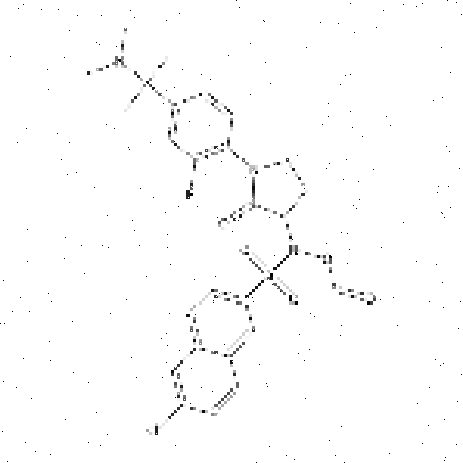 CN(C)C(C)(C)c1ccc(N2CCC(N(OC=O)S(=O)(=O)c3ccc4cc(Cl)ccc4c3)C2=O)c(F)c1